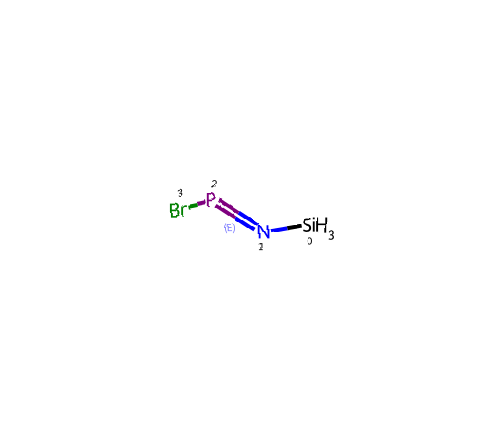 [SiH3]/N=P/Br